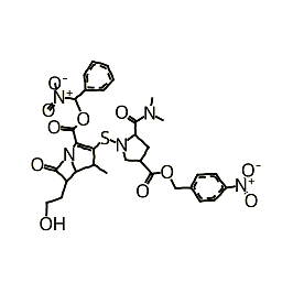 CC1C(SN2CC(C(=O)OCc3ccc([N+](=O)[O-])cc3)CC2C(=O)N(C)C)=C(C(=O)OC(c2ccccc2)[N+](=O)[O-])N2C(=O)C(CCO)C12